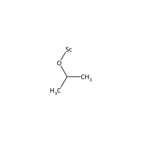 CC(C)[O][Sc]